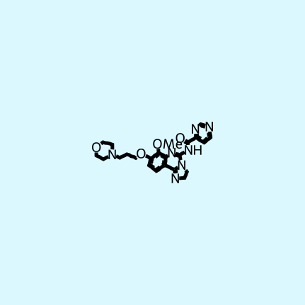 COc1c(OCCCN2CCOCC2)ccc2c1N=C(NC(=O)c1ccncn1)N1CCN=C21